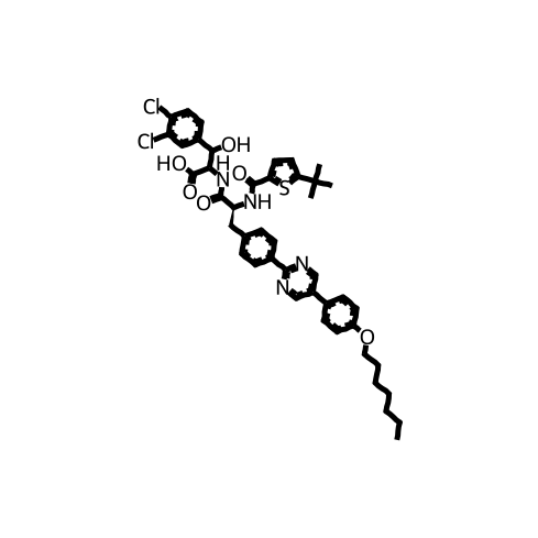 CCCCCCCOc1ccc(-c2cnc(-c3ccc(C[C@H](NC(=O)c4ccc(C(C)(C)C)s4)C(=O)NC(C(=O)O)C(O)c4ccc(Cl)c(Cl)c4)cc3)nc2)cc1